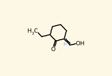 CCC1CCC/C(=C\O)C1=O